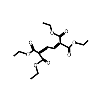 CCOC(=O)C(=CC=C(C(=O)OCC)C(=O)OCC)C(=O)OCC